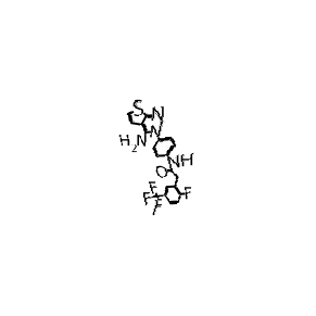 NC1=c2ccsc2=NCN1c1ccc(NC(=O)Cc2cc(C(F)(F)F)ccc2F)cc1